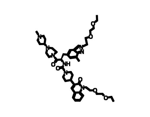 CCOCCOCCn1cc2cc(C[C@@H](NC(=O)N3CCC(c4cc5ccccc5n(CCOCCOCC)c4=O)CC3)C(=O)N3CCN(C4CCN(C)CC4)CC3)cc(C)c2n1